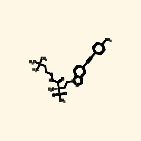 C[C@@](CCn1ncc2cc(C#Cc3ccc(N)cc3)ccc21)(C(=O)NOCC[Si](C)(C)C)S(C)(=O)=O